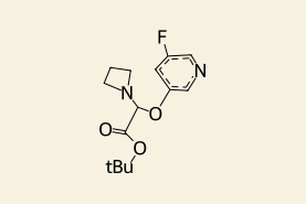 CC(C)(C)OC(=O)C(Oc1cncc(F)c1)N1CCC1